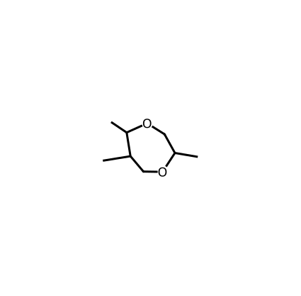 CC1COC(C)C(C)CO1